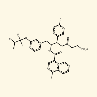 O=C(O)CCC(=O)OC(c1ccc(F)cc1)C(Cc1cccc(OC(F)(F)C(F)F)c1)NC(=O)c1ccc(F)c2ccccc12